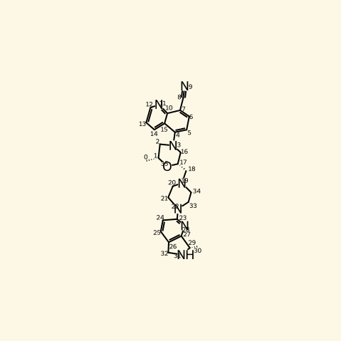 C[C@@H]1CN(c2ccc(C#N)c3ncccc23)C[C@H](CN2CCN(c3ccc4c(n3)[C@H](C)NC4)CC2)O1